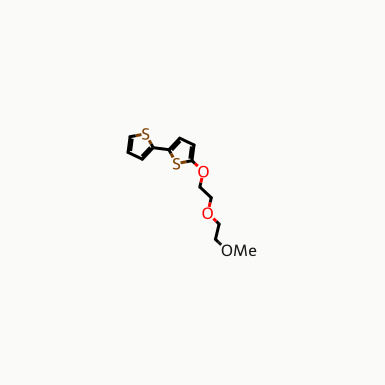 COCCOCCOc1ccc(-c2cccs2)s1